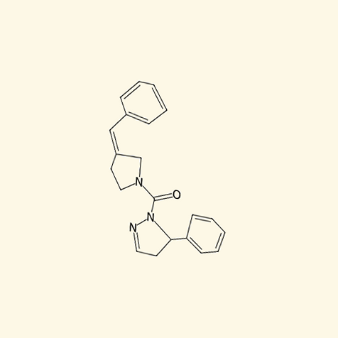 O=C(N1CC/C(=C/c2ccccc2)C1)N1N=CCC1c1ccccc1